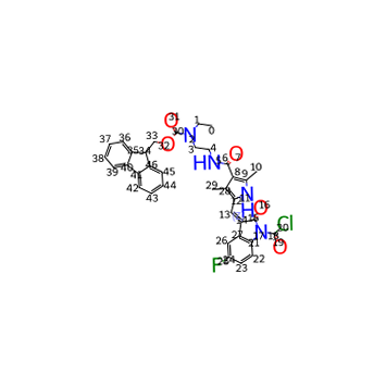 CCN(CCNC(=O)c1c(C)[nH]c(/C=C2\C(=O)N(C(=O)Cl)c3ccc(F)cc32)c1C)C(=O)OCC1c2ccccc2-c2ccccc21